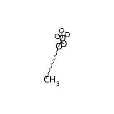 CCCCCCCCCCCCCCCCOCC(=O)COC(c1ccccc1)(c1ccccc1)c1ccccc1